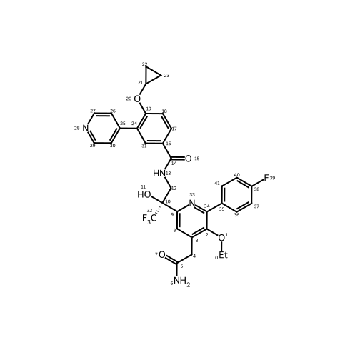 CCOc1c(CC(N)=O)cc([C@@](O)(CNC(=O)c2ccc(OC3CC3)c(-c3ccncc3)c2)C(F)(F)F)nc1-c1ccc(F)cc1